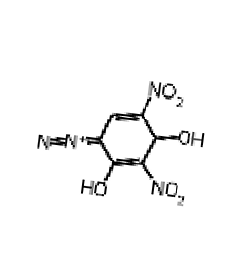 [N-]=[N+]=C1C=C([N+](=O)[O-])C(O)C([N+](=O)[O-])=C1O